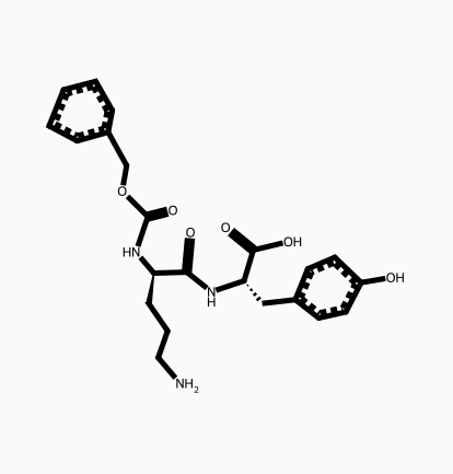 NCCC[C@@H](NC(=O)OCc1ccccc1)C(=O)N[C@@H](Cc1ccc(O)cc1)C(=O)O